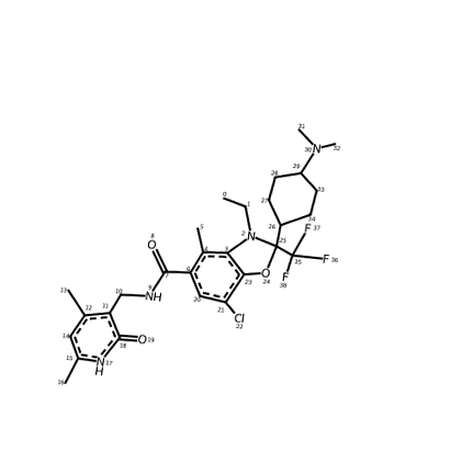 CCN1c2c(C)c(C(=O)NCc3c(C)cc(C)[nH]c3=O)cc(Cl)c2OC1(C1CCC(N(C)C)CC1)C(F)(F)F